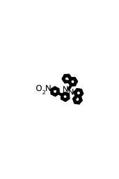 O=[N+]([O-])c1ccc(-c2cccc3c2nc(-c2cccc4ccccc24)n3-c2cccc3ccccc23)cc1